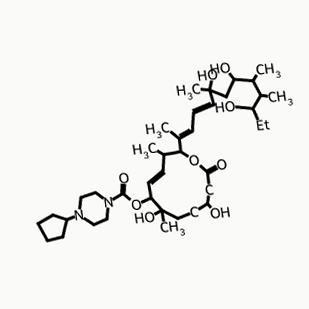 CCC(O)C(C)C(C)C(O)CC(C)(O)/C=C/C=C(\C)C1OC(=O)CC(O)CCC(C)(O)C(OC(=O)N2CCN(C3CCCC3)CC2)/C=C/C1C